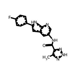 Cc1n[nH]nc1C(=O)Nc1cnc2[nH]c(-c3ccc(F)cc3)cc2c1